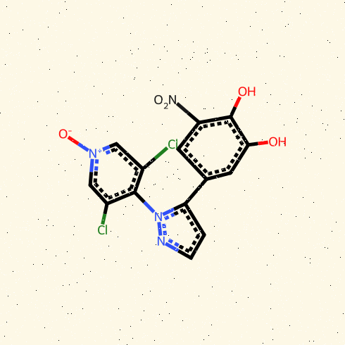 O=[N+]([O-])c1cc(-c2ccnn2-c2c(Cl)c[n+]([O-])cc2Cl)cc(O)c1O